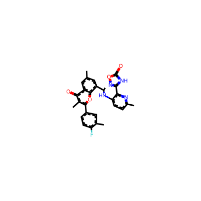 Cc1cc(C(C)Nc2ccc(C)nc2-c2noc(=O)[nH]2)c2oc(-c3ccc(F)c(C)c3)c(C)c(=O)c2c1